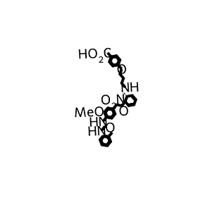 COc1cc(CC(=O)C2([N+](=O)[O-])C=CC=C[C@H]2CNCCCOc2ccc(C(=O)O)cc2)ccc1NC(=O)Nc1ccccc1C